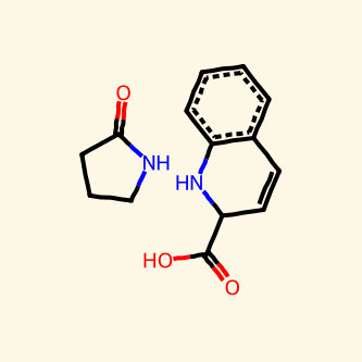 O=C(O)C1C=Cc2ccccc2N1.O=C1CCCN1